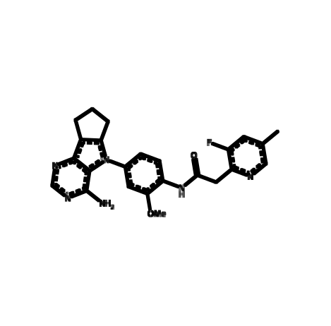 COc1cc(-n2c3c(c4ncnc(N)c42)CCC3)ccc1NC(=O)Cc1ncc(C)cc1F